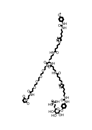 COc1ccc(NC(=O)NCCCCc2cn(CCCCC(=O)NCCCC[C@H](NC(=O)CCCNC(=O)CCCCn3cc(CCCCNC(=O)Nc4ccc(O[C@H]5O[C@H](CCP(=O)(O)O)[C@@H](O)[C@H](O)[C@@H]5O)cc4)nn3)C(=O)NCCOCCOCCOCCOCCC(=O)NCCN3C(=O)C=CC3=O)nn2)cc1